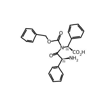 N[C@H](C(=O)N(C(=O)OCc1ccccc1)[C@H](C(=O)O)c1ccccc1)c1ccccc1